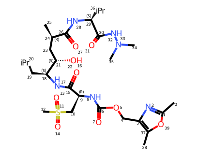 Cc1nc(COC(=O)N[C@@H](CS(C)(=O)=O)C(=O)N[C@@H](CC(C)C)[C@@H](O)C[C@@H](C)C(=O)N[C@H](C(=O)NN(C)C)C(C)C)c(C)o1